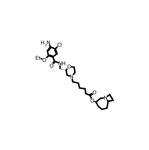 CCOc1cc(N)c(Cl)cc1C(=O)NC[C@H]1CN(CCCCCC(=O)O[C@@H]2CCCC3CCN3C2)CCO1